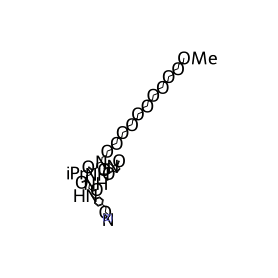 C/N=C\OCc1ccc(NC(=O)CNC(=O)C(NC(=O)CCN(CCOCCOCCOCCOCCOCCOCCOCCOCCOCCOCCOC)C(=O)CN2C(=O)C=CC2=O)C(C)C)cc1